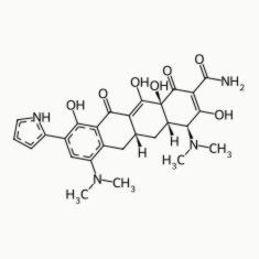 CN(C)c1cc(-c2ccc[nH]2)c(O)c2c1C[C@H]1C[C@H]3[C@H](N(C)C)C(O)=C(C(N)=O)C(=O)[C@@]3(O)C(O)=C1C2=O